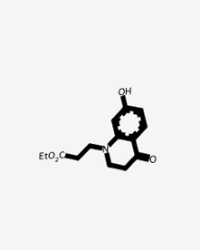 CCOC(=O)CCN1CCC(=O)c2ccc(O)cc21